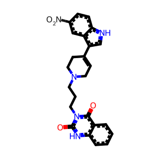 O=c1[nH]c2ccccc2c(=O)n1CCCN1CC=C(c2c[nH]c3ccc([N+](=O)[O-])cc23)CC1